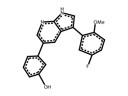 COc1ccc(F)cc1-c1c[nH]c2ncc(-c3cccc(O)c3)cc12